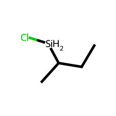 CCC(C)[SiH2]Cl